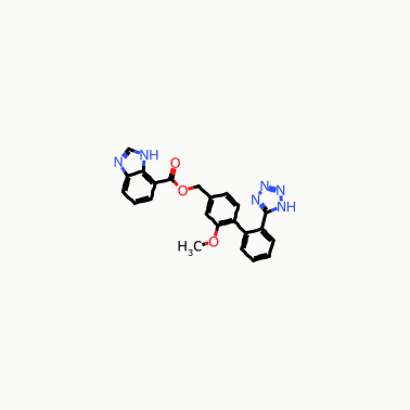 COc1cc(COC(=O)c2cccc3nc[nH]c23)ccc1-c1ccccc1-c1nnn[nH]1